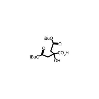 CC(C)COC(=O)CC(O)(CC(=O)OCC(C)C)C(=O)O